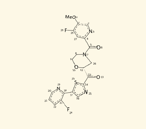 COc1cnc(C(=O)N2CCO[C@@H](C(=O)c3ncc(-c4ncccc4F)s3)C2)cc1F